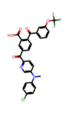 CN(c1ccc(Cl)cc1)c1ccc(C(=O)c2ccc(C(=O)c3cccc(OC(F)(F)F)c3)c(C(=O)O)c2)nc1